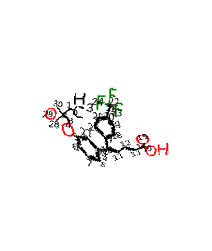 CCC1(COc2cccc(/C(=C/C=C/C(=O)O)c3ccc(C(F)(F)F)cc3)c2)COC1